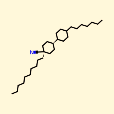 CCCCCCCCCC[C@]1(C#N)CC[C@@H](C2CCC(CCCCCCC)CC2)CC1